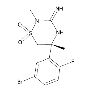 CN1C(=N)N[C@](C)(c2cc(Br)ccc2F)CS1(=O)=O